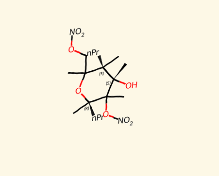 CCC[C@@]1(C)OC(C)(CO[N+](=O)[O-])[C@@](C)(CCC)[C@](C)(O)C1(C)O[N+](=O)[O-]